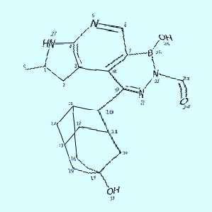 CC1Cc2c(ncc3c2C(C2C4CC5CC2CC(O)(C5)C4)=NN(C=O)B3O)N1